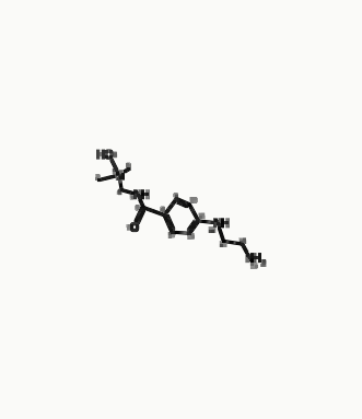 C[Si](C)(O)CNC(=O)c1ccc(NCCN)cc1